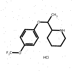 CC(Oc1ccc(OC(F)(F)F)cc1)C1CCCCN1.Cl